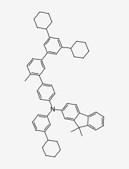 Cc1ccc(-c2cc(C3CCCCC3)cc(C3CCCCC3)c2)cc1-c1ccc(N(c2cccc(C3CCCCC3)c2)c2ccc3c(c2)C(C)(C)c2ccccc2-3)cc1